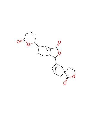 O=C1CCCC(C2CC3CC2C2C(=O)OC(C4CC5CC4C4(CCOC4=O)C5)C32)O1